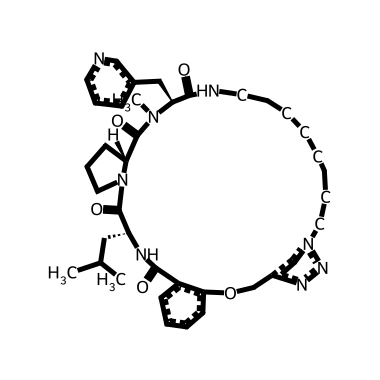 CC(C)C[C@H]1NC(=O)c2ccccc2OCc2cn(nn2)CCCCCCCCNC(=O)[C@H](Cc2cccnc2)N(C)C(=O)[C@H]2CCCN2C1=O